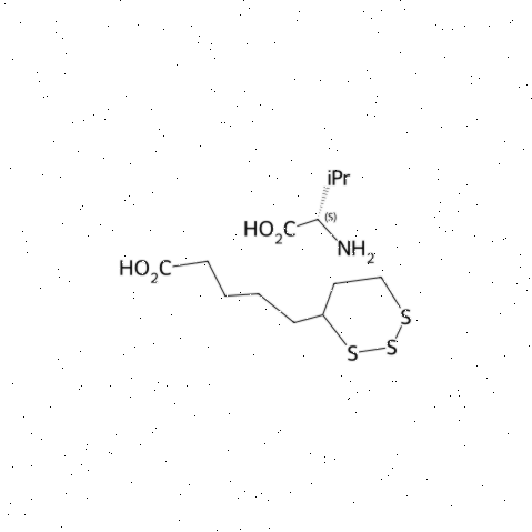 CC(C)[C@H](N)C(=O)O.O=C(O)CCCCC1CCSSS1